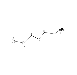 CCCCCCCC[P]CC